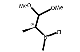 COC(OC)[C@H](C)N(C)Cl